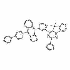 CC1(C)c2ccccc2-c2nc(-c3ccccc3)nc(-c3cccc(-c4c5ccccc5c(-c5ccc(-c6ccccc6)cc5)c5ccccc45)c3)c21